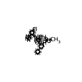 CCOC(=O)CCN1CC[C@H](c2ccccc2)C[C@@H]1C(=O)N[C@@H](C)C(=O)NCc1cc(Cl)ccc1-n1cnnn1